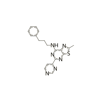 Cc1nc2c(NCCCc3ccccc3)nc(-c3ccncn3)nc2s1